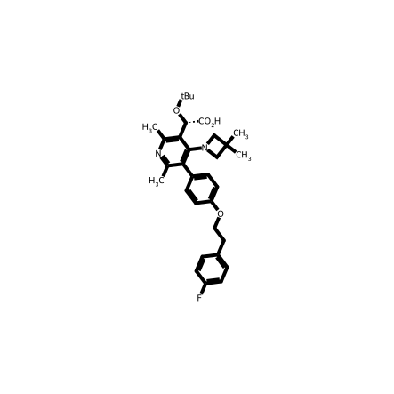 Cc1nc(C)c([C@H](OC(C)(C)C)C(=O)O)c(N2CC(C)(C)C2)c1-c1ccc(OCCc2ccc(F)cc2)cc1